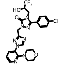 O=c1n(Cc2ncn(-c3cccnc3N3CCOCC3)n2)nc(-c2ccc(Cl)cc2)n1CC(O)C(F)(F)F